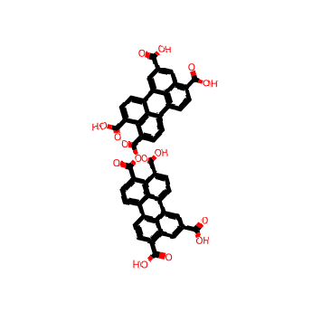 O=C(O)c1cc2c(C(=O)O)ccc3c4ccc(C(=O)OC(=O)c5ccc6c7ccc(C(=O)O)c8cc(C(=O)O)cc(c9ccc(C(=O)O)c5c69)c87)c5c(C(=O)O)ccc(c(c1)c23)c54